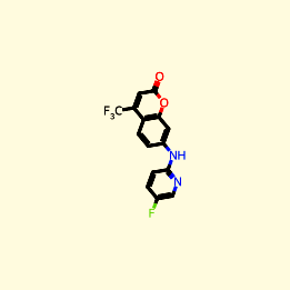 O=c1cc(C(F)(F)F)c2ccc(Nc3ccc(F)cn3)cc2o1